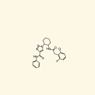 O=C(Cc1c(F)cccc1Cl)NC1CCCCC1n1cc(C(=O)Nc2ccccc2)nn1